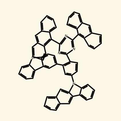 c1ccc2cc3c(cc2c1)c1ccccc1n3-c1ccc(-c2nc(-c3c4ccccc4cc4ccccc34)nc(-c3c4ccccc4cc4ccccc34)n2)c(-c2ccc3sc4ccccc4c3c2)c1